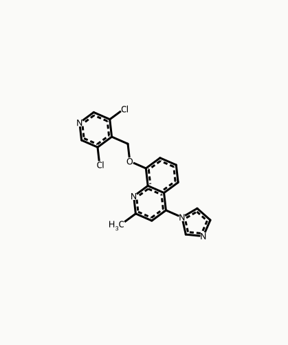 Cc1cc(-n2ccnc2)c2cccc(OCc3c(Cl)cncc3Cl)c2n1